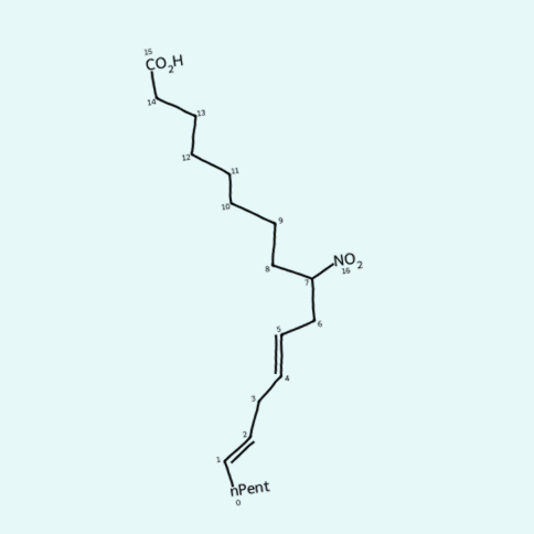 CCCCC/C=C/C/C=C/CC(CCCCCCCC(=O)O)[N+](=O)[O-]